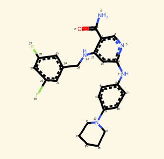 NC(=O)c1cnc(Nc2ccc(N3CCCCC3)cc2)cc1NCc1cc(F)cc(F)c1